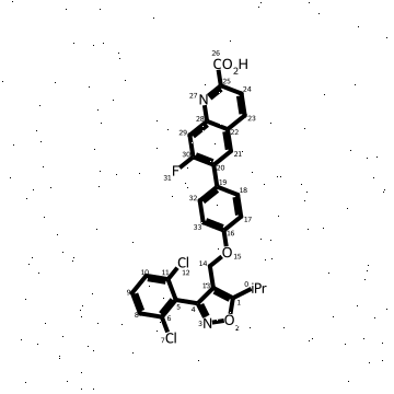 CC(C)c1onc(-c2c(Cl)cccc2Cl)c1COc1ccc(-c2cc3ccc(C(=O)O)nc3cc2F)cc1